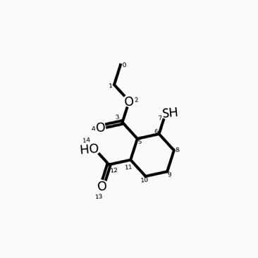 CCOC(=O)C1C(S)CCCC1C(=O)O